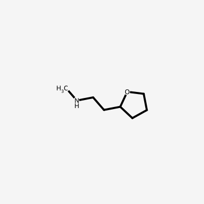 CNCCC1CCCO1